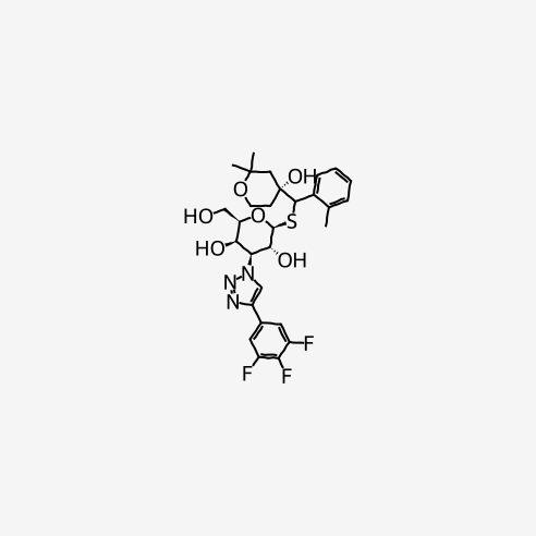 Cc1ccccc1C(S[C@@H]1O[C@H](CO)[C@H](O)[C@H](n2cc(-c3cc(F)c(F)c(F)c3)nn2)[C@H]1O)[C@@]1(O)CCOC(C)(C)C1